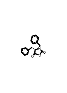 O=C1OC(=O)N(Cc2ccccc2)[C@H]1Cc1ccccc1